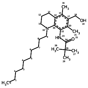 CCCCCCCCCCN1CCCc2c(C)c(CO)c(C)c(NC(=O)C(C)(C)C)c21